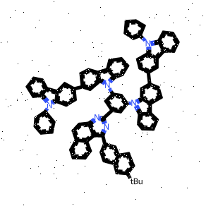 CC(C)(C)c1ccc2cc(-c3nc(-c4cc(-n5c6ccccc6c6ccc(-c7ccc8c(c7)c7ccccc7n8-c7ccccc7)cc65)cc(-n5c6ccccc6c6ccc(-c7ccc8c(c7)c7ccccc7n8-c7ccccc7)cc65)c4)nc4ccc5ccccc5c34)ccc2c1